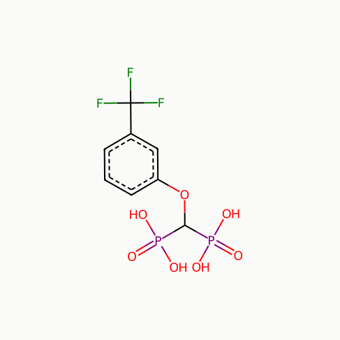 O=P(O)(O)C(Oc1cccc(C(F)(F)F)c1)P(=O)(O)O